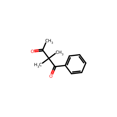 CC(=O)C(C)(C)C(=O)c1ccccc1